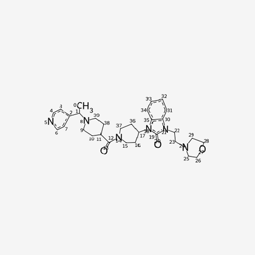 CC(c1ccncc1)N1CCC(C(=O)N2CCC(n3c(=O)n(CCN4CCOCC4)c4ccccc43)CC2)CC1